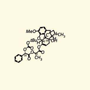 COc1ccc2c3c1O[C@H]1C(OC(=O)[C@H](C)OC(=O)[C@@H](OC(=O)OC(C)(C)C)c4ccccc4)=CC[C@@]4(O)[C@@H]5N(C)CC5(C2)C[C@]314